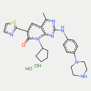 Cc1nc(Nc2ccc(N3CCNCC3)cc2)nc2c1cc(-c1nccs1)c(=O)n2C1CCCC1.Cl.Cl